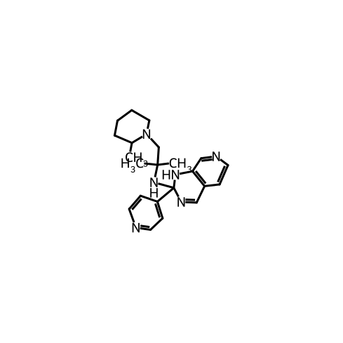 CC1CCCCN1CC(C)(C)NC1(c2ccncc2)N=Cc2ccncc2N1